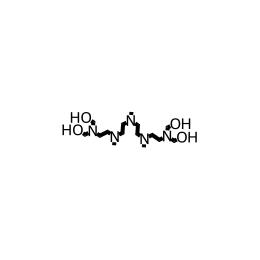 CN(CCN(C)CCN(CO)CO)CCN(C)CCN(CO)CO